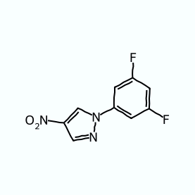 O=[N+]([O-])c1cnn(-c2cc(F)cc(F)c2)c1